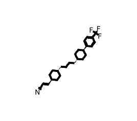 N#CC=C[C@H]1CC[C@H](CCCC[C@H]2CC[C@H](c3ccc(C(F)(F)F)cc3)CC2)CC1